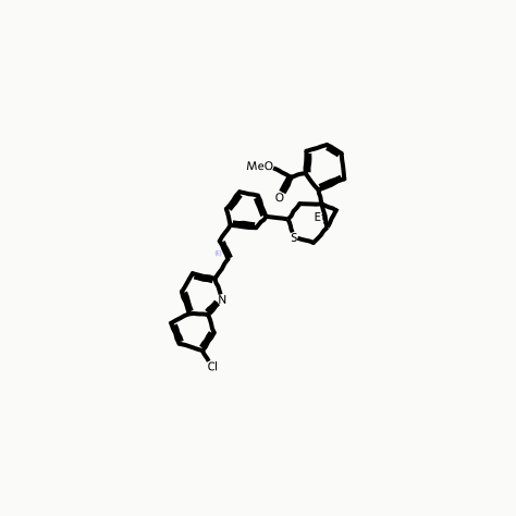 CCC12CSC(c3cccc(/C=C/c4ccc5ccc(Cl)cc5n4)c3)CC1(c1ccccc1C(=O)OC)C2